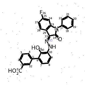 O=C(O)c1cccc(-c2cccc(N/N=C3\C(=O)N(c4ccccc4)c4cc(F)ccc43)c2O)c1